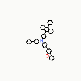 c1ccc(-c2ccc(N(c3ccc(-c4ccc5c(c4)oc4ccccc45)cc3)c3ccc(-c4c5c(c(-c6ccccc6)c6c4CCCC6)CCCC5)cc3)cc2)cc1